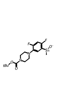 C[S@+]([O-])c1cc(N2CCN(C(=O)OC(C)(C)C)CC2)c(F)cc1F